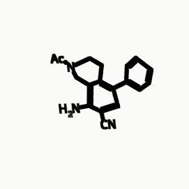 CC(=O)N1CCc2c(-c3ccccc3)cc(C#N)c(N)c2C1